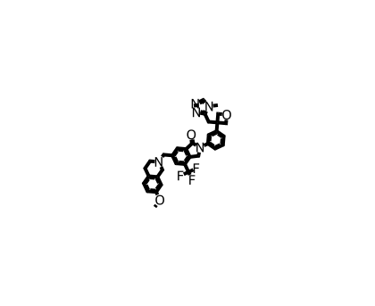 COc1ccc2c(c1)CN(Cc1cc3c(c(C(F)(F)F)c1)CN(c1cccc(C4(Cc5nncn5C)COC4)c1)C3=O)CC2